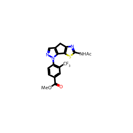 COC(=O)c1ccc(-n2ncc3c2-c2sc(NC(C)=O)nc2C3)c(C(F)(F)F)c1